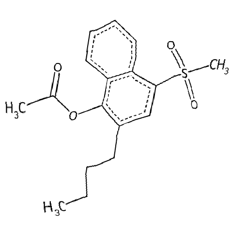 CCCCc1cc(S(C)(=O)=O)c2ccccc2c1OC(C)=O